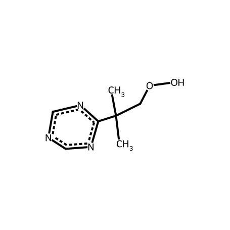 CC(C)(COO)c1ncncn1